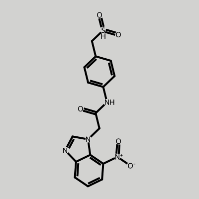 O=C(Cn1cnc2cccc([N+](=O)[O-])c21)Nc1ccc(C[SH](=O)=O)cc1